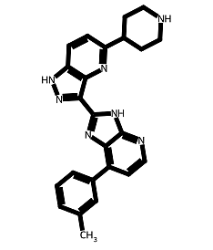 Cc1cccc(-c2ccnc3[nH]c(-c4n[nH]c5ccc(C6CCNCC6)nc45)nc23)c1